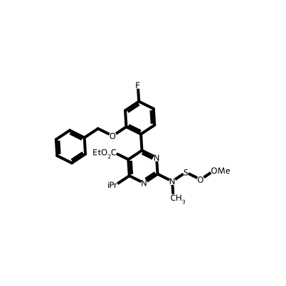 CCOC(=O)c1c(-c2ccc(F)cc2OCc2ccccc2)nc(N(C)SOOC)nc1C(C)C